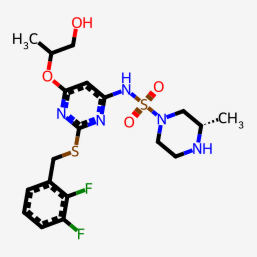 CC(CO)Oc1cc(NS(=O)(=O)N2CCN[C@@H](C)C2)nc(SCc2cccc(F)c2F)n1